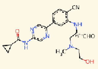 CN(CCO)C[C@@H](C=O)Nc1cc(-c2cnc(NC(=O)C3CC3)cn2)ccc1C#N